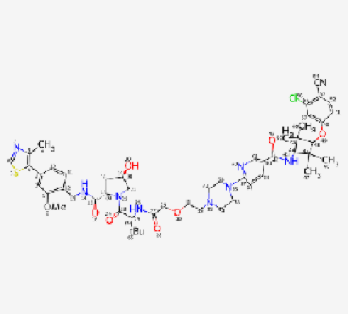 COc1cc(-c2scnc2C)ccc1CNC(=O)[C@@H]1C[C@@H](O)CN1C(=O)[C@@H](NC(=O)COCCN1CCN(c2ccc(C(=O)NC3C(C)(C)C(Oc4ccc(C#N)c(Cl)c4)C3(C)C)cn2)CC1)C(C)(C)C